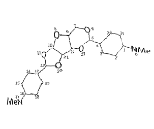 CNC1CCC(C2OCC3OC4OC(C5CCC(NC)CC5)OC4C3O2)CC1